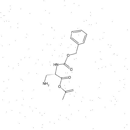 C=C(C)OC(=O)[C@H](CN)NC(=O)OCc1ccccc1